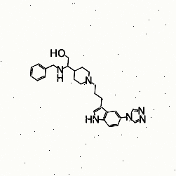 OCC(NCc1ccccc1)C1CCN(CCCc2c[nH]c3ccc(-n4cnnc4)cc23)CC1